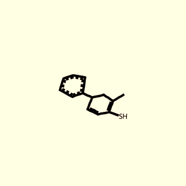 CC1=C(S)C=CC(c2ccccc2)C1